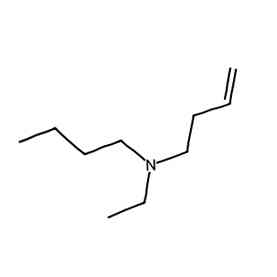 C=CCCN(CC)CCCC